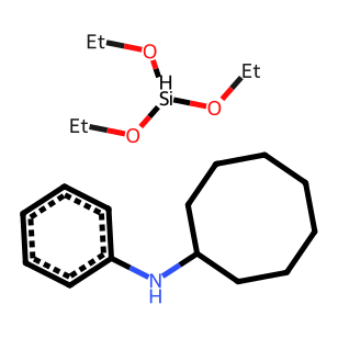 CCO[SiH](OCC)OCC.c1ccc(NC2CCCCCCC2)cc1